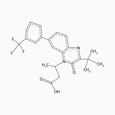 CC(CC(=O)O)n1c(=O)c(C(C)(C)C)nc2ccc(-c3cccc(C(F)(F)F)c3)cc21